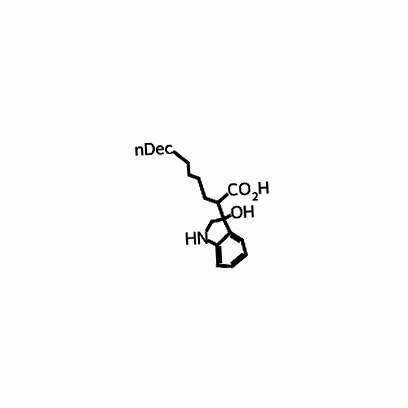 CCCCCCCCCCCCCCC(C(=O)O)C1(O)CNc2ccccc21